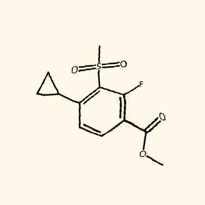 COC(=O)c1ccc(C2CC2)c(S(C)(=O)=O)c1F